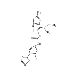 COC(C)c1c(NC(=O)Nc2ccc(-c3nnco3)c(Cl)c2)cnc2sc(C)nc12